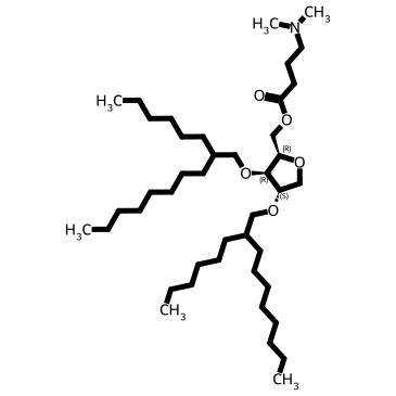 CCCCCCCCC(CCCCCC)CO[C@@H]1[C@@H](OCC(CCCCCC)CCCCCCCC)CO[C@@H]1COC(=O)CCCN(C)C